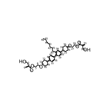 C=C(CO)C(=O)OCCOC1CCC(c2ccc(-c3ccc(C4CCC(OCCOC(=O)C(=C)CO)CC4)cc3CCCCCCC)cc2)CC1